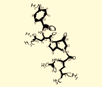 CC(=O)NC(CCC(C)C)C(=O)N1CC(=O)C2C1CCN2C(=O)C(CC(C)C)NC(=O)c1ccc(N)cc1